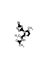 CC(=O)N[C@H](C)[C@H]1CC[C@@H](C)N1c1nnc(Br)s1